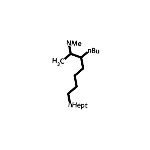 CCCCCCCCCCCC(CCCC)C(C)NC